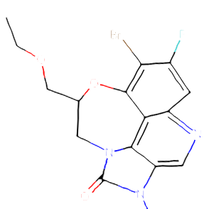 CCOCC1Cn2c(=O)n(C)c3cnc4cc(F)c(Br)c(c4c32)O1